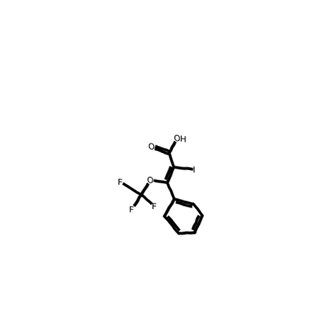 O=C(O)C(I)=C(OC(F)(F)F)c1ccccc1